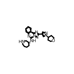 c1ccc2c(c1)nc(N[C@@H]1CCCCNC1)n1nc(-c3cnn(C4CCOCC4)c3)nc21